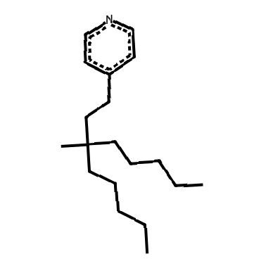 CCCCCC(C)(CCCCC)CCc1ccncc1